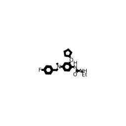 CCNC(=O)Nc1ccc(N(C)Cc2ccc(F)cc2)cc1OC1CCCC1